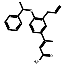 C=CCc1cc(/C(C)=C/C(N)=O)ccc1OC(C)c1ccccc1